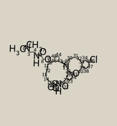 CN(C)CCNC(=O)CO[C@@H]1/C=C/CCCS(=O)(=O)NC(=O)c2ccc3c(c2)N(CCCCc2cc(Cl)ccc2CO3)CC2CCC21